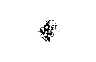 O=C(NCC(F)(F)F)[C@@H](c1cncnc1)N(C(=O)[C@H](F)Cl)c1ccc(OC(F)(F)F)cc1